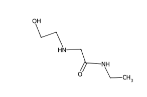 CCNC(=O)CNCCO